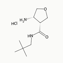 CC(C)(C)CNC(=O)[C@H]1COC[C@H]1N.Cl